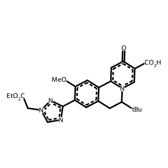 CCOC(=O)Cn1cnc(-c2cc3c(cc2OC)-c2cc(=O)c(C(=O)O)cn2C(C(C)(C)C)C3)n1